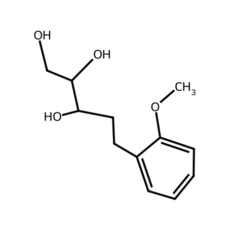 COc1ccccc1CCC(O)C(O)CO